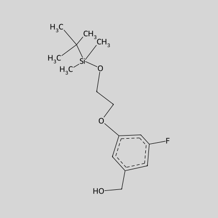 CC(C)(C)[Si](C)(C)OCCOc1cc(F)cc(CO)c1